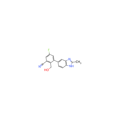 Cc1nc2cc(-c3cc(F)cc(C#N)c3CO)ccc2[nH]1